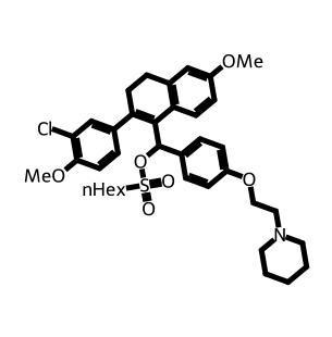 CCCCCCS(=O)(=O)OC(C1=C(c2ccc(OC)c(Cl)c2)CCc2cc(OC)ccc21)c1ccc(OCCN2CCCCC2)cc1